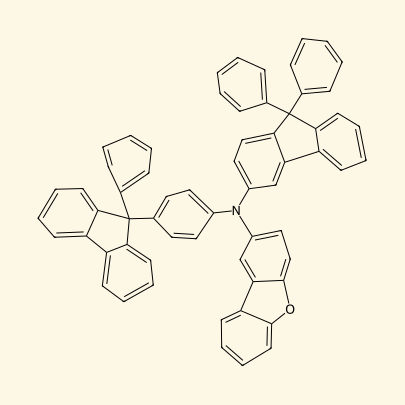 c1ccc(C2(c3ccc(N(c4ccc5c(c4)-c4ccccc4C5(c4ccccc4)c4ccccc4)c4ccc5oc6ccccc6c5c4)cc3)c3ccccc3-c3ccccc32)cc1